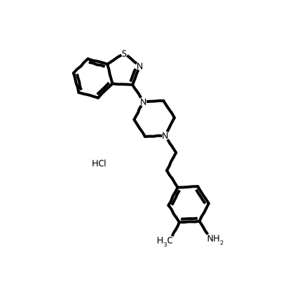 Cc1cc(CCN2CCN(c3nsc4ccccc34)CC2)ccc1N.Cl